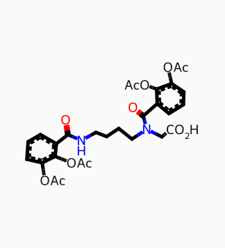 CC(=O)Oc1cccc(C(=O)NCCCCN(CC(=O)O)C(=O)c2cccc(OC(C)=O)c2OC(C)=O)c1OC(C)=O